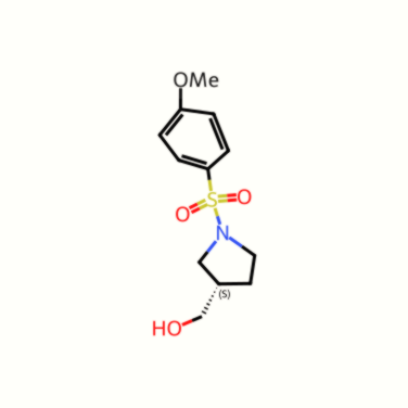 COc1ccc(S(=O)(=O)N2CC[C@H](CO)C2)cc1